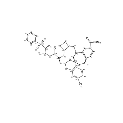 COC(=O)c1ccc2c(c1)N(C[C@@H]1CC[C@H]1CN(C)C(=O)C[C@H](C)[C@H](C)S(=O)(=O)c1ncccn1)C[C@@]1(CCCc3cc(Cl)ccc31)CO2